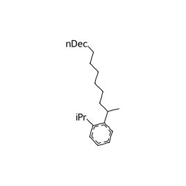 CCCCCCCCCCCCCCCCC(C)c1ccccc1C(C)C